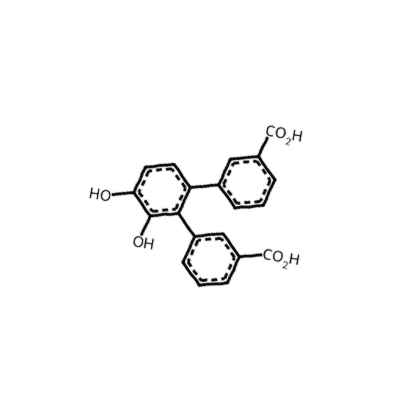 O=C(O)c1cccc(-c2ccc(O)c(O)c2-c2cccc(C(=O)O)c2)c1